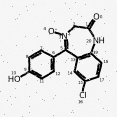 O=C1C[N+]([O-])=C(c2ccc(O)cc2)c2cc(Cl)ccc2N1